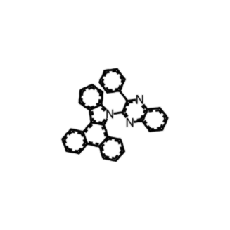 c1ccc(-c2nc3ccccc3nc2-n2c3ccccc3c3c4ccccc4c4ccccc4c32)cc1